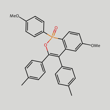 COc1ccc(P2(=O)OC(c3ccc(C)cc3)=C(c3ccc(C)cc3)c3cc(OC)ccc32)cc1